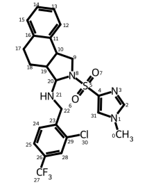 Cn1cnc(S(=O)(=O)N2CC3c4ccccc4CCC3C2NCc2ccc(C(F)(F)F)cc2Cl)c1